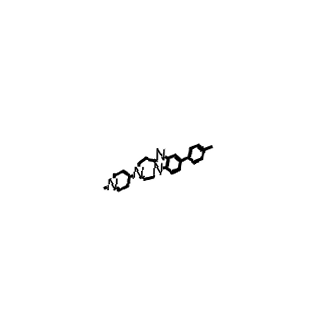 Cc1ccc(-c2ccc3c(c2)nc2n3CCN(C3CCN(C)CC3)CC2)cc1